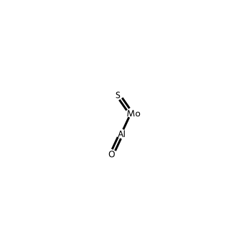 [O]=[Al][Mo]=[S]